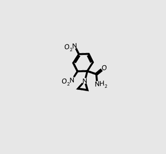 NC(=O)C1(N2CC2)C=CC([N+](=O)[O-])=CC1[N+](=O)[O-]